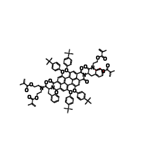 C=C(C)C(=O)OCCN(CCOC(=O)C(=C)C)C(=O)C(Cc1ccccc1)N1C(=O)c2cc(Oc3ccc(C(C)(C)C)cc3)c3c4c(Oc5ccc(C(C)(C)C)cc5)cc5c6c(cc(Oc7ccc(C(C)(C)C)cc7)c(c7c(Oc8ccc(C(C)(C)C)cc8)cc(c2c37)C1=O)c64)C(=O)N(C(Cc1ccccc1)C(=O)N(CCOC(=O)C(=C)C)CCOC(=O)C(=C)C)C5=O